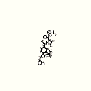 C#CCOc1ccc(C(=S)N2CCC2C(=O)OC)cc1C(F)(F)F